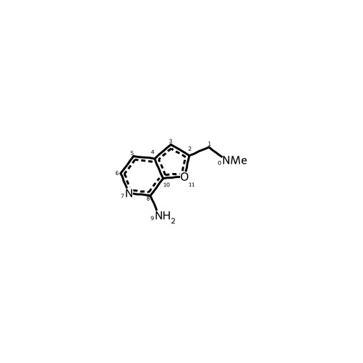 CNCc1cc2ccnc(N)c2o1